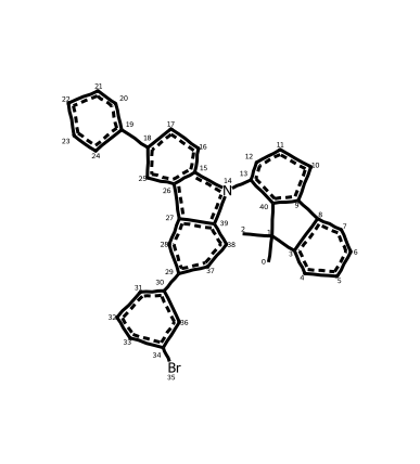 CC1(C)c2ccccc2-c2cccc(-n3c4ccc(-c5ccccc5)cc4c4cc(-c5cccc(Br)c5)ccc43)c21